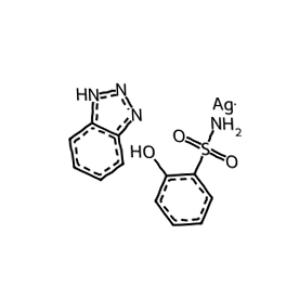 NS(=O)(=O)c1ccccc1O.[Ag].c1ccc2[nH]nnc2c1